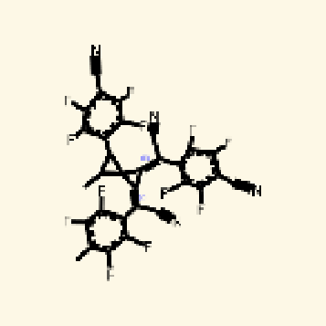 Cc1c(F)c(F)c(/C(C#N)=C2/C(=C(/C#N)c3c(F)c(F)c(C#N)c(F)c3F)C23C(C)C3c2c(F)c(F)c(C#N)c(F)c2F)c(F)c1F